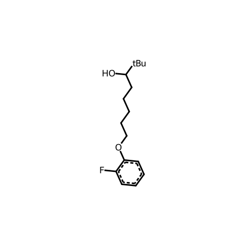 CC(C)(C)C(O)CCCCCOc1ccccc1F